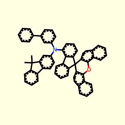 CC1(C)c2ccccc2-c2ccc(N(c3cccc(-c4ccccc4)c3)c3cccc4c3-c3ccccc3C43c4ccc5ccccc5c4Oc4c3ccc3ccccc43)cc21